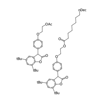 CC(=O)OCCOc1ccc(C2C(=O)Oc3c2cc(C(C)(C)C)cc3C(C)(C)C)cc1.CCCCCCCCCCCCCCCCCC(=O)OCCOc1ccc(C2C(=O)Oc3c2cc(C(C)(C)C)cc3C(C)(C)C)cc1